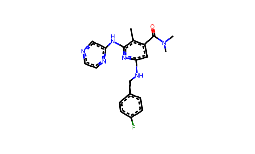 Cc1c(C(=O)N(C)C)cc(NCc2ccc(F)cc2)nc1Nc1cnccn1